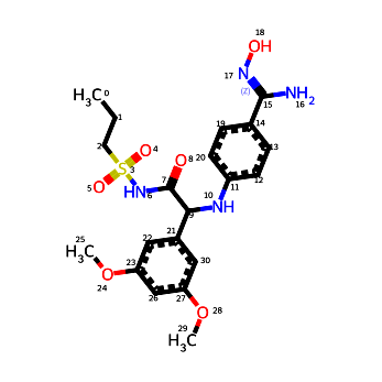 CCCS(=O)(=O)NC(=O)C(Nc1ccc(/C(N)=N/O)cc1)c1cc(OC)cc(OC)c1